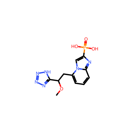 COC(Cc1cccc2nc(P(=O)(O)O)cn12)c1nnn[nH]1